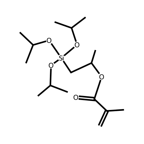 C=C(C)C(=O)OC(C)C[Si](OC(C)C)(OC(C)C)OC(C)C